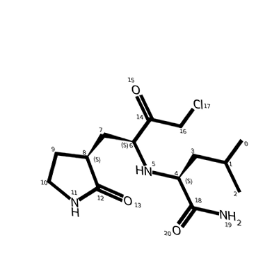 CC(C)C[C@H](N[C@@H](C[C@@H]1CCNC1=O)C(=O)CCl)C(N)=O